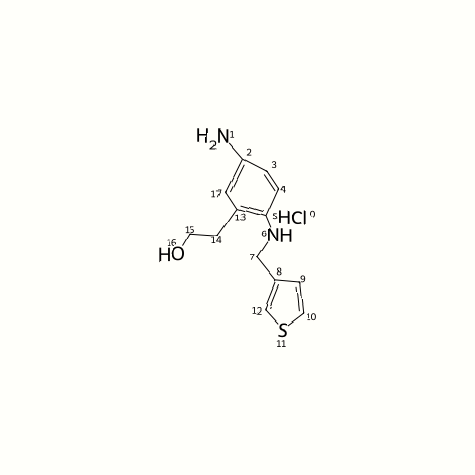 Cl.Nc1ccc(NCc2ccsc2)c(CCO)c1